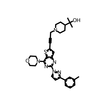 Cc1cccc(-c2ccn(-c3nc(N4CCOCC4)c4sc(C#CCN5CCC(C(C)(C)O)CC5)cc4n3)n2)c1